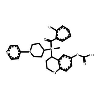 C[N+](C(=O)c1ccccc1Cl)(C1CCN(c2ccncc2)CC1)C1CCOc2ccc(OC(=O)O)cc21